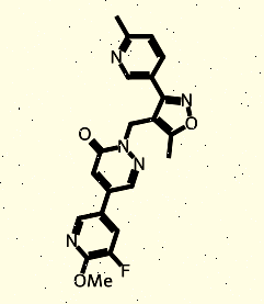 COc1ncc(-c2cnn(Cc3c(-c4ccc(C)nc4)noc3C)c(=O)c2)cc1F